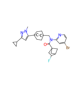 Cn1nc(C2CC2)cc1C12CCC(CN(C(=O)C34CC(F)C(C3)C4)c3cc(Br)ccn3)(CC1)CC2